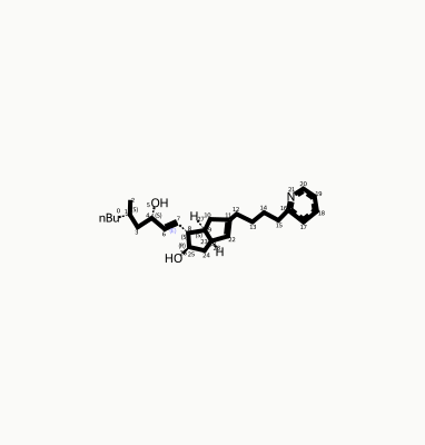 CCCC[C@H](C)C[C@H](O)/C=C/[C@@H]1[C@H]2CC(CCCCc3ccccn3)=C[C@H]2C[C@H]1O